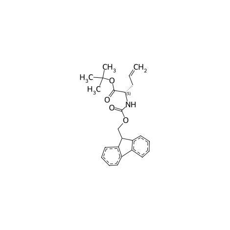 C=CC[C@H](NC(=O)OCC1c2ccccc2-c2ccccc21)C(=O)OC(C)(C)C